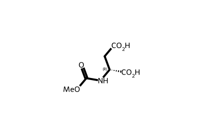 COC(=O)N[C@H](CC(=O)O)C(=O)O